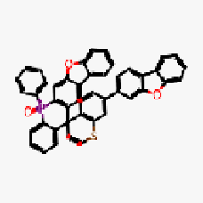 O=P1(c2ccccc2)c2ccccc2C2(c3ccccc3Sc3cc(-c4ccc5c(c4)oc4ccccc45)ccc32)c2cc3c(cc21)oc1ccccc13